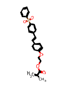 C=C(C)C(=O)OCCOc1ccc(C=Cc2ccc(S(=O)(=O)c3ccccc3)cc2)cc1